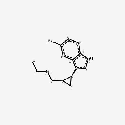 CCNC[C@@H]1C[C@@H]1c1c[nH]c2ccc(F)cc12